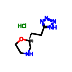 C1CO[C@H](CCc2nnn[nH]2)CN1.Cl